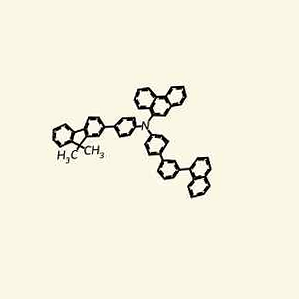 CC1(C)c2ccccc2-c2ccc(-c3ccc(N(c4ccc(-c5cccc(-c6cccc7ccccc67)c5)cc4)c4cc5ccccc5c5ccccc45)cc3)cc21